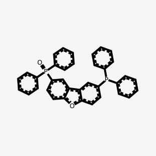 O=P(c1ccccc1)(c1ccccc1)c1ccc2oc3ccc(P(c4ccccc4)c4ccccc4)cc3c2c1